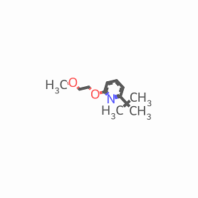 COCCOc1cccc(C(C)(C)C)n1